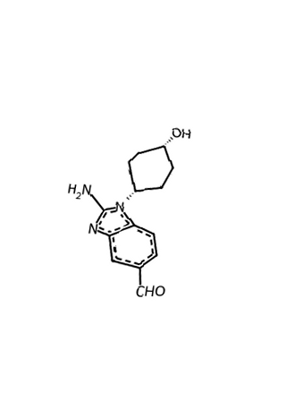 Nc1nc2cc(C=O)ccc2n1[C@H]1CC[C@@H](O)CC1